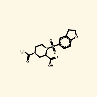 CC(=O)N1CCN(S(=O)(=O)c2ccc3c(c2)CCO3)C(C(=O)O)C1